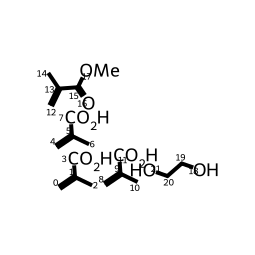 C=C(C)C(=O)O.C=C(C)C(=O)O.C=C(C)C(=O)O.C=C(C)C(=O)OC.OCCO